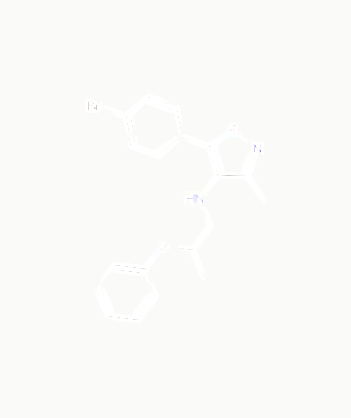 Cc1noc(-c2ccc(Br)cc2)c1NCC(C)Sc1ccccc1